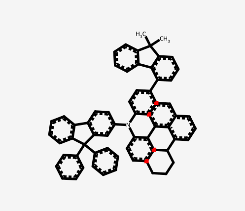 CC1(C)c2ccccc2-c2c(-c3ccc(N(c4ccc5c(c4)C(c4ccccc4)(c4ccccc4)c4ccccc4-5)c4ccccc4-c4cccc5cccc(C6CCCCC6)c45)cc3)cccc21